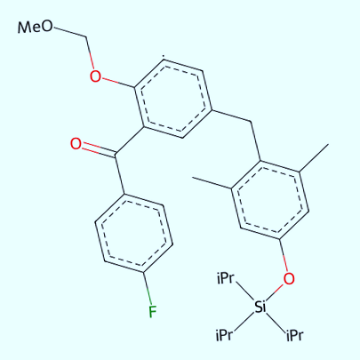 COCOc1[c]cc(Cc2c(C)cc(O[Si](C(C)C)(C(C)C)C(C)C)cc2C)cc1C(=O)c1ccc(F)cc1